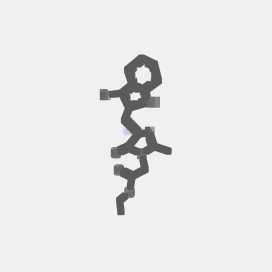 CCOC(=O)CN1C(=O)/C(=C/c2[nH]c3ccccc3c2Br)N=C1C